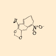 O=[N+]([O-])c1cccc2c(Br)c3c(cc12)OCO3